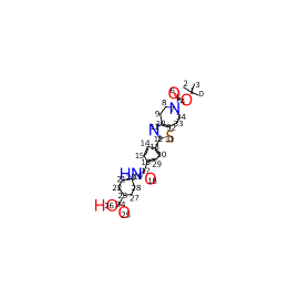 CC(C)(C)OC(=O)N1CCc2nc(-c3ccc(C(=O)N[C@H]4CC[C@H](C(=O)O)CC4)cc3)sc2CC1